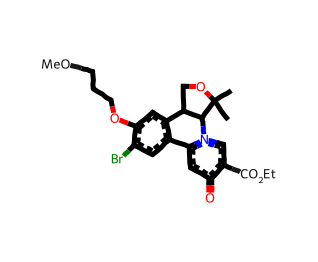 CCOC(=O)c1cn2c(cc1=O)-c1cc(Br)c(OCCCOC)cc1C1COC(C)(C)C12